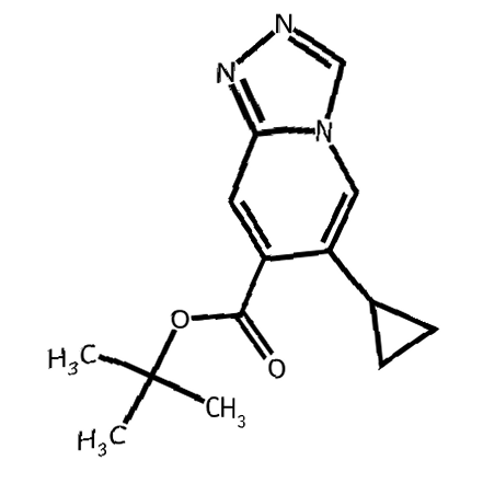 CC(C)(C)OC(=O)c1cc2nncn2cc1C1CC1